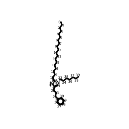 CCCCCCCCCCCCCCCCCCCc1nc(CCCc2ccccc2)cn1CCCCCCC